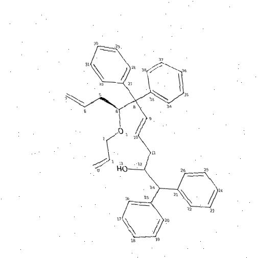 C=CCO[C@@H](CC=C)C(C=CCC(O)C(c1ccccc1)c1ccccc1)(c1ccccc1)c1ccccc1